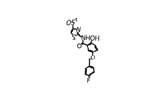 C[S+]([O-])c1csc(NC(=O)c2cc(OCc3ccc(F)cc3)ccc2O)n1